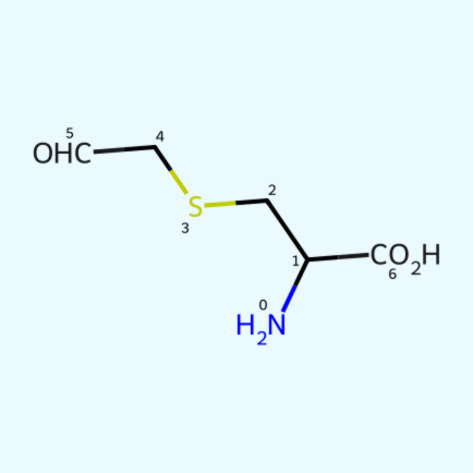 NC(CSCC=O)C(=O)O